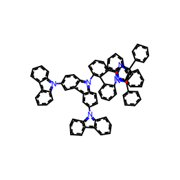 c1ccc(-c2cc(-c3ccccc3)nc(-c3cccc(-n4c5ccc(-n6c7ccccc7c7ccccc76)cc5c5cc(-n6c7ccccc7c7ccccc76)ccc54)c3-c3ccccc3-n3c4ccccc4c4ccccc43)n2)cc1